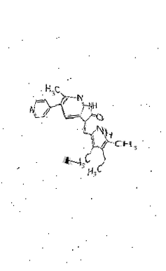 CCc1c(C)[nH]c(C=C2C(=O)Nc3nc(C)c(-c4ccncc4)cc32)c1C